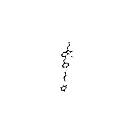 Cc1c(CCCC(=O)O)c2cccc(C=Cc3ccc(OCC=CCOc4c(F)cc(F)cc4F)cc3)c2n1CC(=O)O